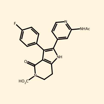 CC(=O)Nc1cc(-c2[nH]c3c(c2-c2ccc(F)cc2)C(=O)N(C(=O)O)CC3)ccn1